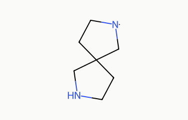 C1CC2(CCNC2)C[N]1